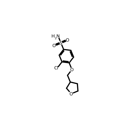 NS(=O)(=O)c1ccc(OCC2CCOC2)c(Cl)c1